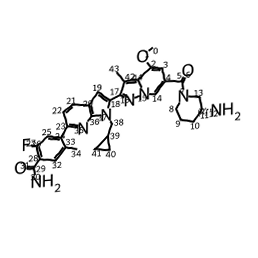 COc1cc(C(=O)N2CCC[C@@H](N)C2)cn2nc(-c3cc4ccc(-c5cc(F)c(C(N)=O)cc5C)nc4n3CC3CC3)c(C)c12